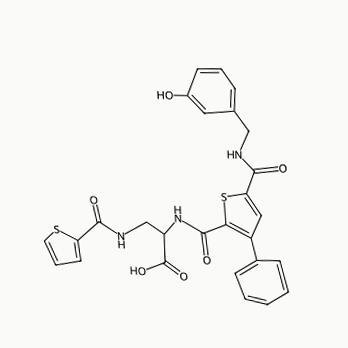 O=C(NCC(NC(=O)c1sc(C(=O)NCc2cccc(O)c2)cc1-c1ccccc1)C(=O)O)c1cccs1